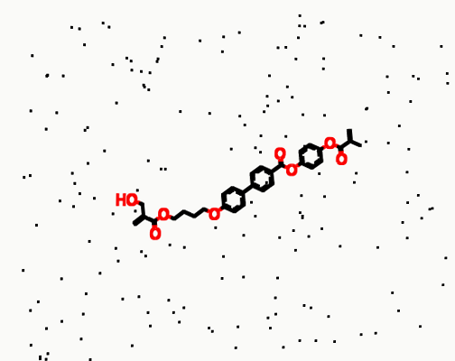 C=C(C)C(=O)Oc1ccc(OC(=O)c2ccc(-c3ccc(OCCCCOC(=O)C(=C)CO)cc3)cc2)cc1